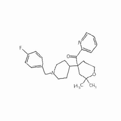 CC1(C)CC(C(=O)c2ccccn2)(C2CCN(Cc3ccc(F)cc3)CC2)CCO1